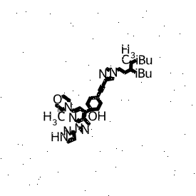 CCC(C)C(C)C(CCn1cnc(C#CC2CCC(O)(c3cc(N4CCOC[C@H]4C)nc4c3cnn4-c3cc[nH]n3)CC2)c1)C(C)CC